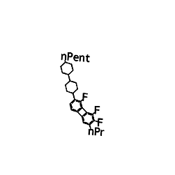 CCCCCC1CCC(C2CCC(c3ccc4c(c3F)-c3c-4cc(CCC)c(F)c3F)CC2)CC1